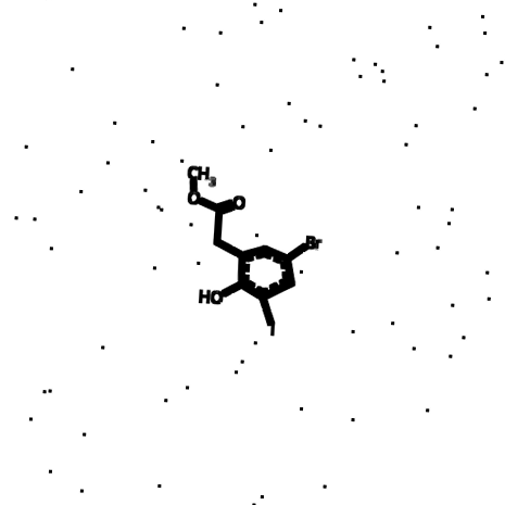 COC(=O)Cc1cc(Br)cc(I)c1O